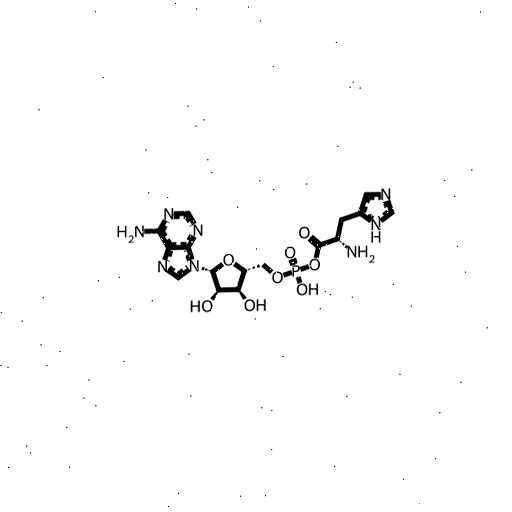 Nc1ncnc2c1ncn2[C@@H]1O[C@H](COP(=O)(O)OC(=O)[C@@H](N)Cc2cnc[nH]2)[C@@H](O)[C@H]1O